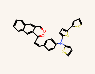 O=Cc1cc2ccccc2cc1C(=O)/C=C\c1ccc(N(c2cccs2)c2ccc(-c3cccs3)s2)cc1